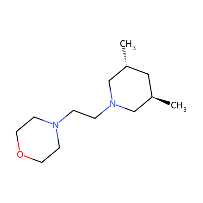 C[C@@H]1C[C@@H](C)CN(CCN2CCOCC2)C1